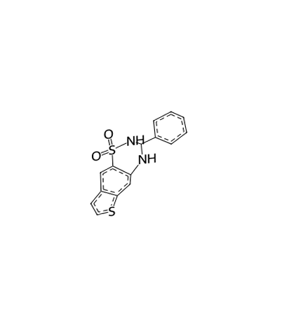 O=S1(=O)NC(c2ccccc2)Nc2cc3sccc3cc21